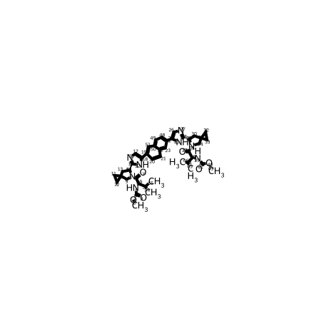 COC(=O)N[C@H](C(=O)N1CC2(CC2)C[C@H]1c1ncc(-c2ccc3cc(-c4cnc([C@@H]5CC6(CC6)CN5C(=O)[C@@H](NC(=O)OC)C(C)C)[nH]4)ccc3c2)[nH]1)C(C)C